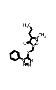 CCCC1C(=O)N(CSc2nnnn2-c2ccccc2)SN1C